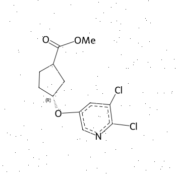 COC(=O)C1CC[C@@H](Oc2cnc(Cl)c(Cl)c2)C1